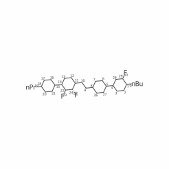 CCCCC1CCC(C2CCC(CCC3CCC(C4CCC(CCC)CC4)C(F)[C@H]3F)CC2)CC1F